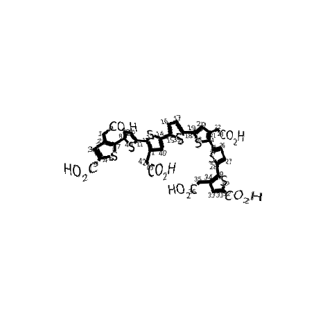 O=C(O)Cc1cc(C(=O)O)sc1-c1ccc(-c2sc(-c3ccc(-c4cc(CC(=O)O)c(-c5ccc(-c6sc(C(=O)O)cc6CC(=O)O)s5)s4)s3)cc2CC(=O)O)s1